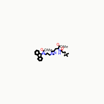 COC(=O)C(Cc1cn(CCCN(C(=O)OC)C2c3ccccc3-c3ccccc32)cn1)NC(=O)CC[Si](C)(C)C